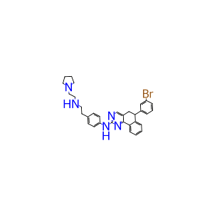 Brc1cccc(C2Cc3cnc(Nc4ccc(CCNCCN5CCCC5)cc4)nc3-c3ccccc32)c1